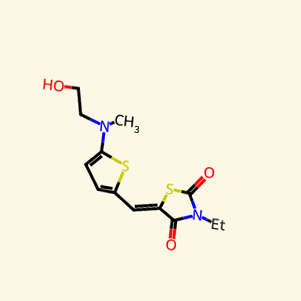 CCN1C(=O)S/C(=C\c2ccc(N(C)CCO)s2)C1=O